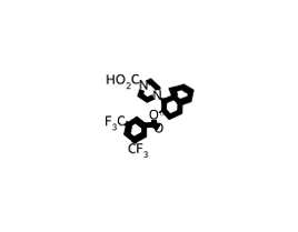 O=C(O[C@H]1CCc2ccccc2[C@@H]1N1CCN(C(=O)O)CC1)c1cc(C(F)(F)F)cc(C(F)(F)F)c1